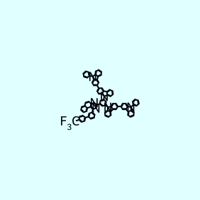 FC(F)(F)c1ccc(-c2cccc(-c3nc(-c4cc(-n5c6ccccc6c6cc(-c7ccc8c(c7)c7ccccc7n8-c7ccccc7)ccc65)cc(-n5c6ccccc6c6cc(-c7ccc8c(c7)c7ccccc7n8-c7ccccc7)ccc65)c4)nc4ccc5ccccc5c34)c2)cc1